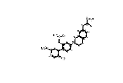 CCN(CC)Cc1cc([C@@H]2CCc3ccc(CC(C)C(=O)O)cc3O2)ccc1-c1cc(OC)ncc1C#N